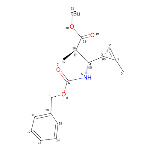 CC1=C[C@H]1[C@H](NC(=O)OCc1ccccc1)[C@@H](C)C(=O)OC(C)(C)C